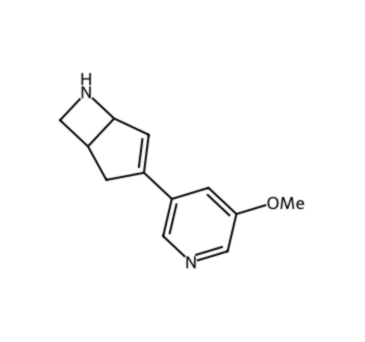 COc1cncc(C2=CC3NCC3C2)c1